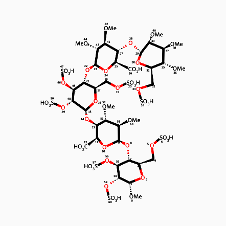 CO[C@H]1O[C@H](COS(=O)(=O)O)[C@@H](O[C@H]2O[C@@H](C(=O)O)[C@@H](O[C@H]3O[C@H](COS(=O)(=O)O)[C@@H](O[C@@H]4O[C@H](C(=O)O)[C@@H](O[C@H]5O[C@H](COS(=O)(=O)O)[C@@H](OC)[C@H](OC)[C@H]5OC)[C@H](OC)[C@H]4OC)[C@H](OS(=O)(=O)O)[C@H]3OS(=O)(=O)O)[C@H](OC)[C@H]2OC)[C@H](OS(=O)(=O)O)[C@H]1OS(=O)(=O)O